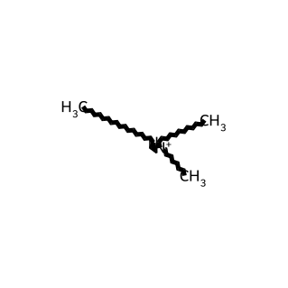 CCCCCCCCCCCCCCCCCn1cc[n+](CCCCCCCC)c1CCCCCCCCCCC